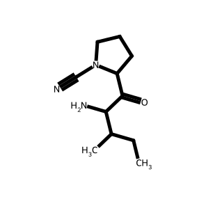 CCC(C)C(N)C(=O)C1CCCN1C#N